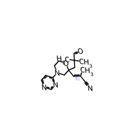 C/C(C#N)=C\C1(CC(C)(C)C=O)CN(c2ccncn2)CCO1